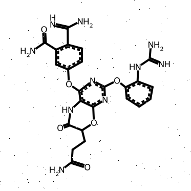 N=C(N)Nc1ccccc1Oc1nc(Oc2ccc(C(=N)N)c(C(N)=O)c2)c2c(n1)OC(CCC(N)=O)C(=O)N2